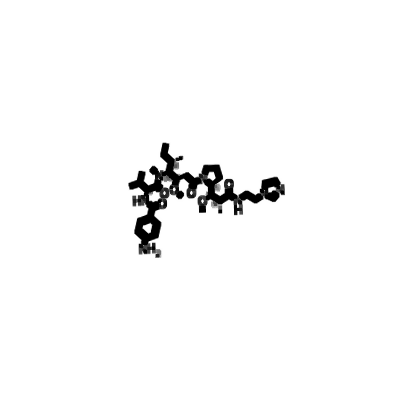 CC[C@H](C)[C@@H]([C@@H](CC(=O)N1CCC[C@H]1[C@H](OC)[C@@H](C)C(=O)NCCn1ccnc1)OC)N(C)C(=O)[C@@H](NC(=O)c1ccc(N)cc1)C(C)C